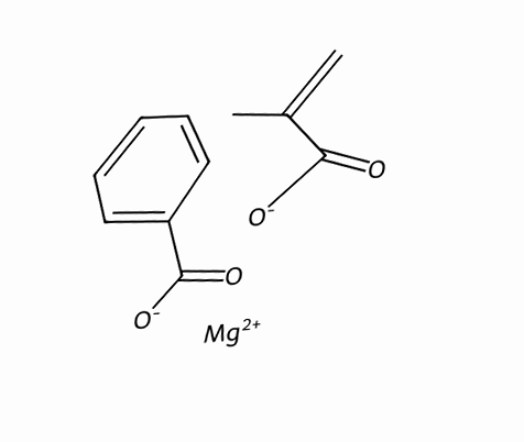 C=C(C)C(=O)[O-].O=C([O-])c1ccccc1.[Mg+2]